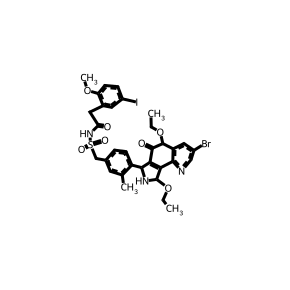 CCOC1NC(c2ccc(CS(=O)(=O)NC(=O)Cc3cc(I)ccc3OC)cc2C)C2=C1c1ncc(Br)cc1C(OCC)C2=O